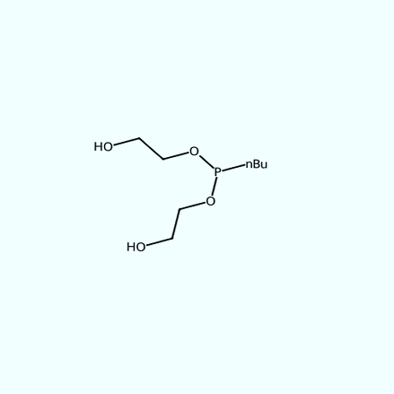 CCCCP(OCCO)OCCO